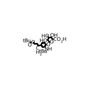 C/C(=C\COC(=O)C(C)(C)C)c1ccc(O[C@@H]2O[C@H](C(=O)O)[C@@H](O)[C@H](O)[C@H]2O)c(NC(C)(C)C)c1